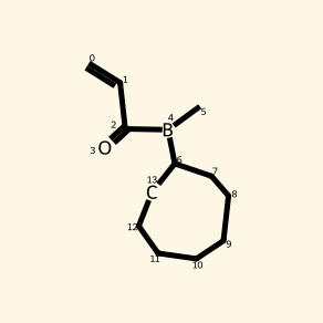 C=CC(=O)B(C)C1CCCCCCC1